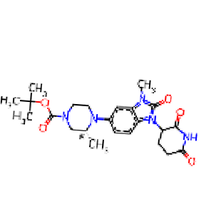 C[C@@H]1CN(C(=O)OC(C)(C)C)CCN1c1ccc2c(c1)n(C)c(=O)n2C1CCC(=O)NC1=O